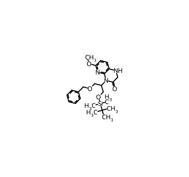 COc1ccc2c(n1)N(C(COCc1ccccc1)CO[Si](C)(C)C(C)(C)C)C(=O)CN2